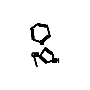 CO.c1cc[nH]c1.c1ccncc1